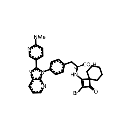 CNc1ccc(-c2nc3cccnc3n2-c2ccc(C[C@H](NC3=C(Br)C(=O)C34CCCCC4)C(=O)O)cc2)cn1